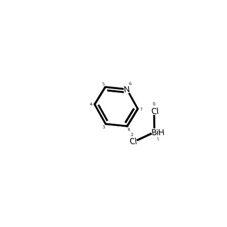 [Cl][BiH][Cl].c1ccncc1